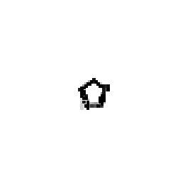 C1=NC=PC1